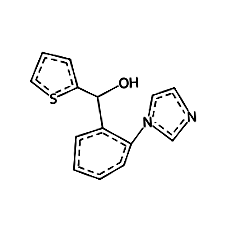 OC(c1cccs1)c1ccccc1-n1ccnc1